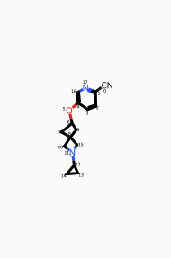 N#Cc1ccc(OC2CC3(C2)CN(C2CC2)C3)cn1